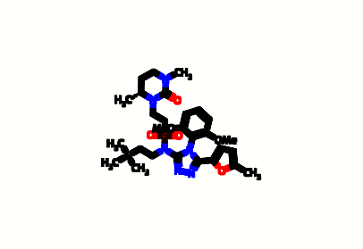 COc1cccc(OC)c1-n1c(-c2ccc(C)o2)nnc1N(CC[Si](C)(C)C)S(=O)(=O)CCN1C(=O)N(C)CC[C@H]1C